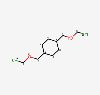 ClCOCC1CCC(COCCl)CC1